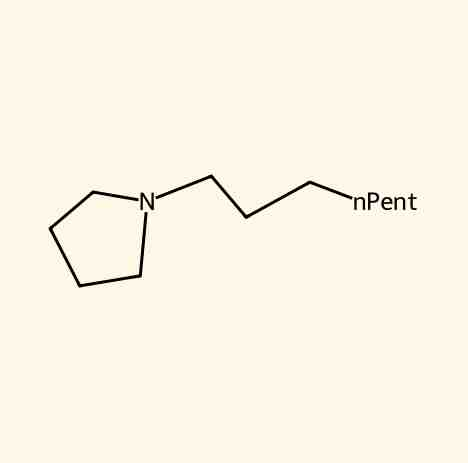 CCCCCCCCN1CCCC1